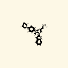 CCCCN(c1cc2ccccc2s1)S(=O)(=O)c1ccc(N2CCCC2)cc1